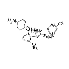 CCOc1cccc(OC2CCC(N)CC2)c1-c1cc(Nc2cnc(C#N)cn2)n[nH]1